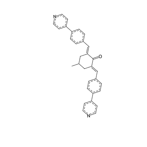 CC1C/C(=C\c2ccc(-c3ccncc3)cc2)C(=O)/C(=C/c2ccc(-c3ccncc3)cc2)C1